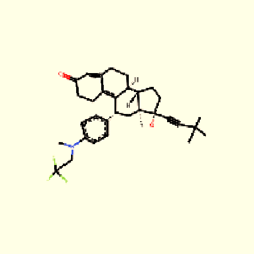 CN(CC(F)(F)F)c1ccc([C@H]2C[C@@]3(C)[C@@H](CC[C@@]3(O)C#CC(C)(C)C)[C@@H]3CCC4=CC(=O)CCC4=C32)cc1